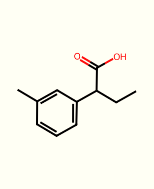 CCC(C(=O)O)c1cccc(C)c1